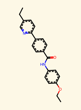 CCOc1ccc(NC(=O)c2ccc(-c3ccc(CC)cn3)cc2)cc1